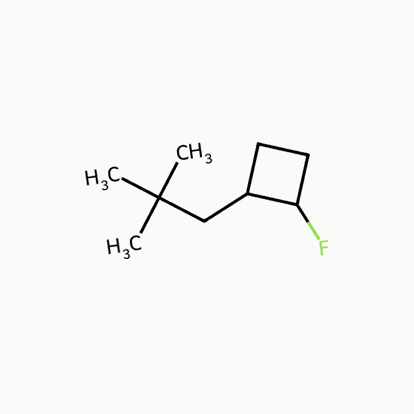 CC(C)(C)CC1CCC1F